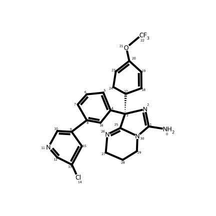 NC1=N[C@@](c2cccc(-c3cncc(Cl)c3)c2)(C2C=CC(OC(F)(F)F)=CC2)C2=NCCCN12